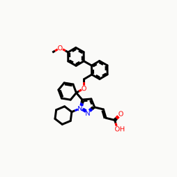 COc1ccc(-c2ccccc2COC2(c3cc(C=CC(=O)O)nn3C3CCCCC3)C=CC=CC2)cc1